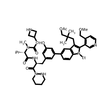 CCn1c(-c2cnccc2COC)c(CC(C)(C)COC(C)=O)c2cc(-c3cc(O)cc(C[C@H](NC(=O)[C@H](C(C)C)N(C)C(=O)OC4CNC4)C(=O)N4CCCCN4)c3)ccc21